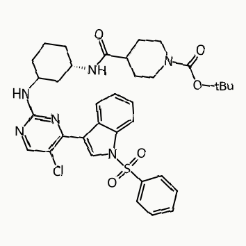 CC(C)(C)OC(=O)N1CCC(C(=O)N[C@H]2CCCC(Nc3ncc(Cl)c(-c4cn(S(=O)(=O)c5ccccc5)c5ccccc45)n3)C2)CC1